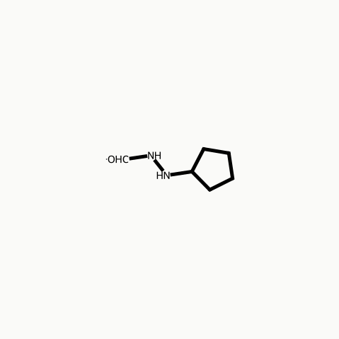 O=[C]NNC1CCCC1